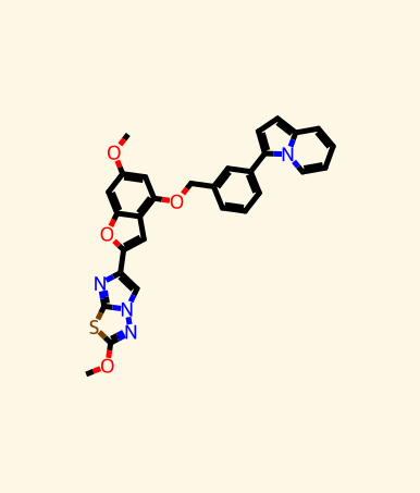 COc1cc(OCc2cccc(-c3ccc4ccccn34)c2)c2cc(-c3cn4nc(OC)sc4n3)oc2c1